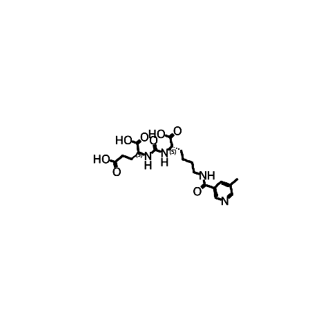 Cc1cncc(C(=O)NCCCC[C@H](NC(=O)N[C@@H](CCC(=O)O)C(=O)O)C(=O)O)c1